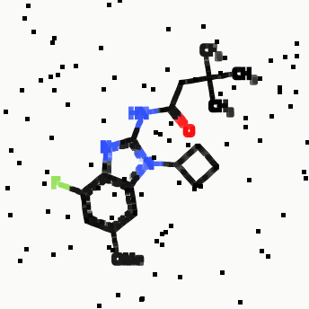 COc1cc(F)c2nc(NC(=O)CC(C)(C)C(F)(F)F)n(C3CCC3)c2c1